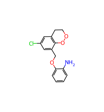 Nc1ccccc1OCc1cc(Cl)cc2c1OOCC2